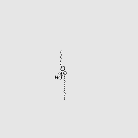 CCCCCCCCCCCCC(Oc1ccc(CCCCCCCC)cc1)C(=O)O